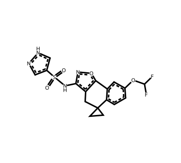 O=S(=O)(Nc1noc2c1CC1(CC1)c1ccc(OC(F)F)cc1-2)c1cn[nH]c1